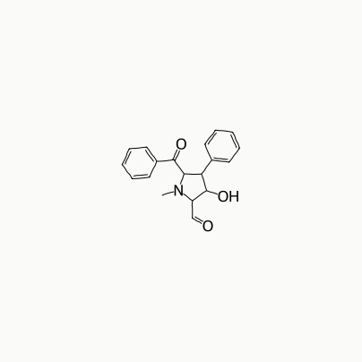 CN1C(C=O)C(O)C(c2ccccc2)C1C(=O)c1ccccc1